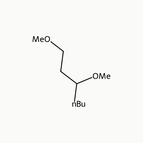 CCCCC(CCOC)OC